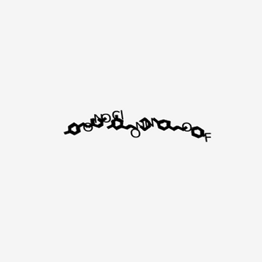 Cc1ccc(COc2ccc(Oc3c(C)cc(/C=C/C(=O)N4CCN(Cc5ccc(/C=C/COc6ccc(F)cc6)cc5)CC4)cc3Cl)nc2)cc1